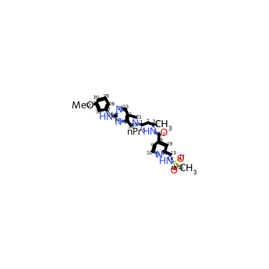 CCC[C@@H](C[C@@H](C)NC(=O)c1ccnc(CNS(C)(=O)=O)c1)N1Cc2cnc(Nc3cccc(OC)c3)nc2C1